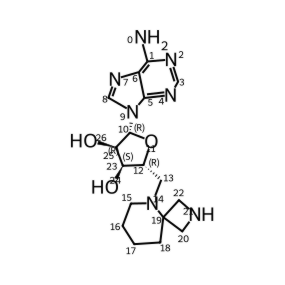 Nc1ncnc2c1ncn2[C@@H]1O[C@H](CN2CCCCC23CNC3)[C@@H](O)[C@H]1O